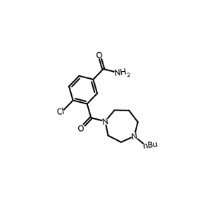 CCCCN1CCCN(C(=O)c2cc(C(N)=O)ccc2Cl)CC1